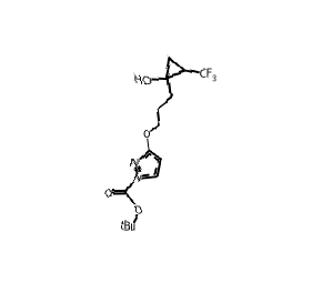 CC(C)(C)OC(=O)n1ccc(OCCCC2(O)CC2C(F)(F)F)n1